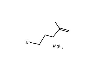 C=C(C)CCCBr.[MgH2]